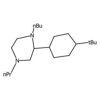 C[CH]CN1CCN(CCCC)C(C2CCC(C(C)(C)C)CC2)C1